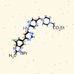 CCOC(=O)CN1CCN(Cc2cnc(Nc3cc(-c4cc(F)c5nc(C)n(C(C)C)c5c4)ncn3)cn2)CC1